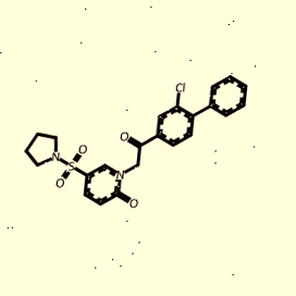 O=C(Cn1cc(S(=O)(=O)N2CCCC2)ccc1=O)c1ccc(-c2ccccc2)c(Cl)c1